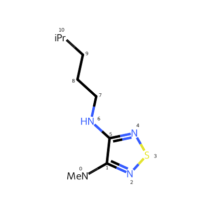 CNc1nsnc1NCCCC(C)C